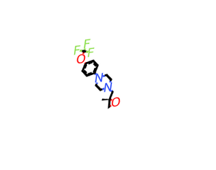 C[C@]1(CN2CCN(c3ccc(OC(F)(F)F)cc3)CC2)CO1